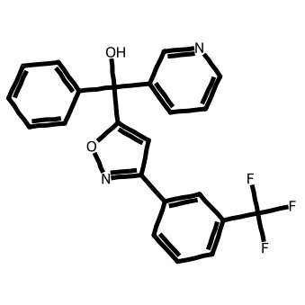 OC(c1ccccc1)(c1cccnc1)c1cc(-c2cccc(C(F)(F)F)c2)no1